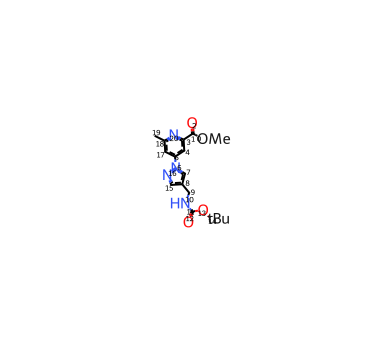 COC(=O)c1cc(-n2cc(CNC(=O)OC(C)(C)C)cn2)cc(C)n1